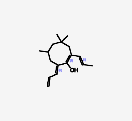 C=C/C=C1CC(C)CC(C)(C)CC(/C=C/C)=C\1O